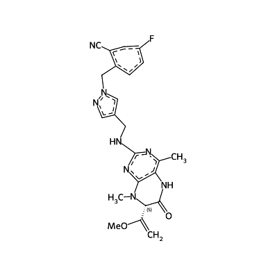 C=C(OC)[C@H]1C(=O)Nc2c(C)nc(NCc3cnn(Cc4ccc(F)cc4C#N)c3)nc2N1C